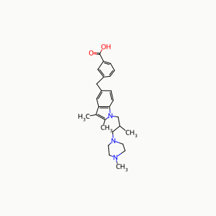 Cc1c(C)n(CC(C)CN2CCN(C)CC2)c2ccc(Cc3cccc(C(=O)O)c3)cc12